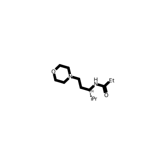 CCC(=O)N[C@@H](CCN1CCOCC1)C(C)C